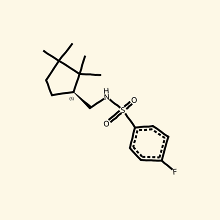 CC1(C)CC[C@H](CNS(=O)(=O)c2ccc(F)cc2)C1(C)C